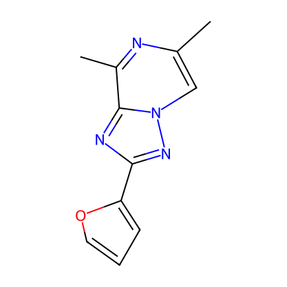 Cc1cn2nc(-c3ccco3)nc2c(C)n1